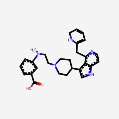 CN(CCN1CCC(c2c[nH]c3ccnc(CC4=CC=CCN4)c23)CC1)c1cccc(C(=O)O)c1